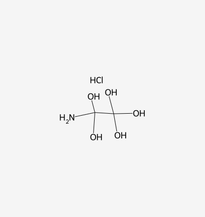 Cl.NC(O)(O)C(O)(O)O